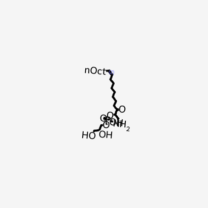 CCCCCCCC/C=C\CCCCCCCC(=O)C(CN)OP(=O)(O)OCC(O)CO